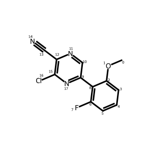 COc1cccc(F)c1-c1cnc(C#N)c(Cl)n1